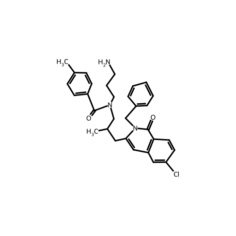 Cc1ccc(C(=O)N(CCCN)CC(C)Cc2cc3cc(Cl)ccc3c(=O)n2Cc2ccccc2)cc1